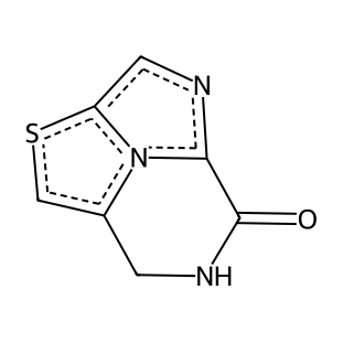 O=C1NCc2csc3cnc1n23